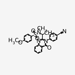 COc1ccc(S(=O)(=O)N(C)C(C)c2nc3ccccc3c(=O)n2-c2ccc(C#N)cc2)cc1